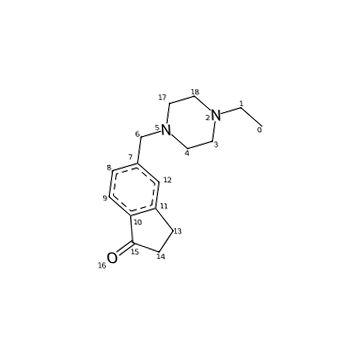 CCN1CCN(Cc2ccc3c(c2)CCC3=O)CC1